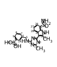 Cc1nc(NCc2cccc(B(O)O)c2)nc(-c2c(C)[nH]c3c([S+](N)[O-])cccc23)n1